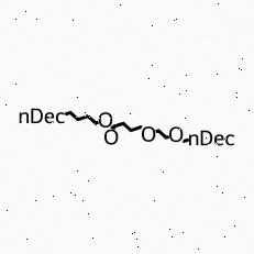 CCCCCCCCCCCCCCOC(=O)CCCOCCOCCCCCCCCCCC